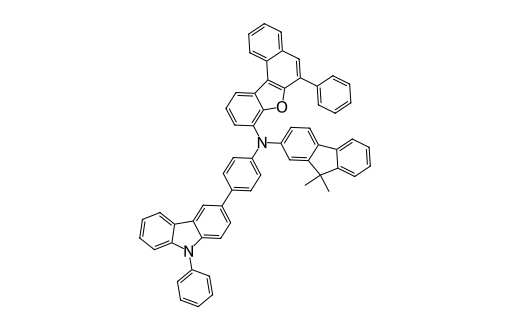 CC1(C)c2ccccc2-c2ccc(N(c3ccc(-c4ccc5c(c4)c4ccccc4n5-c4ccccc4)cc3)c3cccc4c3oc3c(-c5ccccc5)cc5ccccc5c34)cc21